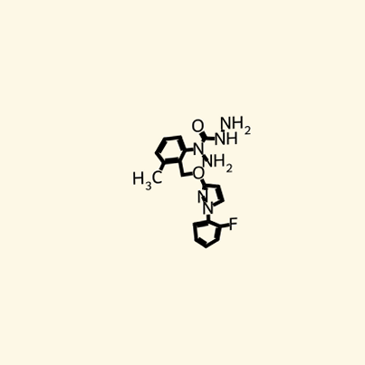 Cc1cccc(N(N)C(=O)NN)c1COc1ccn(-c2ccccc2F)n1